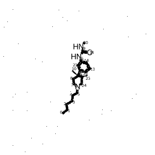 CCCCCCN1CC[C@](C)(c2cccc(NC(=O)NC)c2)[C@@H](C)C1